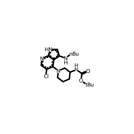 CCCCNc1c[nH]c2ncc(Cl)c(N3CCCC(NC(=O)OC(C)(C)C)C3)c12